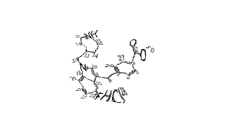 COC(=O)c1ccc(Cc2cn(CC3CCNCC3)c3cccc(F)c23)cc1.Cl